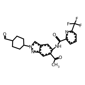 CC(=O)c1cc2nn(C3CCC(C=O)CC3)cc2cc1NC(=O)c1cccc(C(F)(F)F)n1